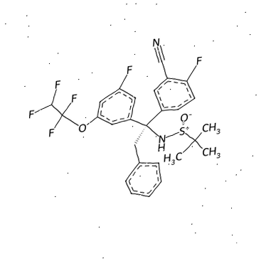 CC(C)(C)[S@@+]([O-])N[C@@](Cc1ccccc1)(c1cc(F)cc(OC(F)(F)C(F)F)c1)c1ccc(F)c(C#N)c1